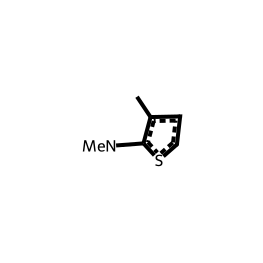 CNc1sccc1C